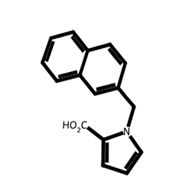 O=C(O)c1cccn1Cc1ccc2ccccc2c1